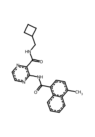 Cc1ccc(C(=O)Nc2nccnc2C(=O)NCC2CCC2)c2ccccc12